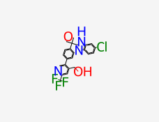 OCc1cc(C(F)(F)F)ncc1-c1ccc(C2(c3nc4ccc(Cl)cc4[nH]3)COC2)cc1